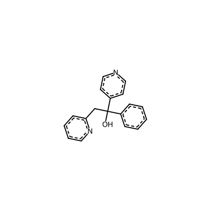 OC(Cc1ccccn1)(c1ccccc1)c1ccncc1